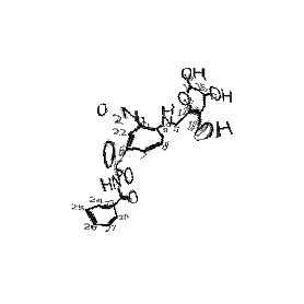 O=C(NS(=O)(=O)c1ccc(NCC2OC(O)C(O)C2O)c([N+](=O)[O-])c1)c1ccccc1